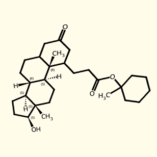 CC1(OC(=O)CCC2CC(=O)CC3CC[C@@H]4[C@H](CC[C@]5(C)[C@@H](O)CC[C@@H]45)[C@@]23C)CCCCC1